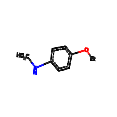 CCOc1ccc(NC(=O)O)cc1